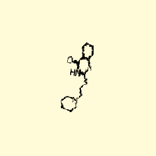 O=c1[nH]c(SCCN2CCCCC2)nc2ccccc12